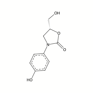 O=C1O[C@@H](CO)CN1c1ccc(O)cc1